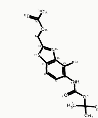 CC(C)(C)OC(=O)Nc1ccc2sc(COC(=O)O)nc2c1F